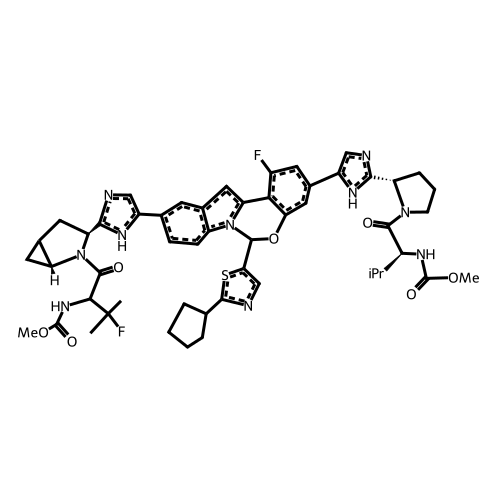 COC(=O)NC(C(=O)N1[C@@H]2CC2C[C@H]1c1ncc(-c2ccc3c(c2)cc2n3C(c3cnc(C4CCCC4)s3)Oc3cc(-c4cnc([C@@H]5CCCN5C(=O)[C@@H](NC(=O)OC)C(C)C)[nH]4)cc(F)c3-2)[nH]1)C(C)(C)F